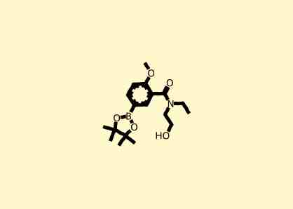 CCN(CCO)C(=O)c1cc(B2OC(C)(C)C(C)(C)O2)ccc1OC